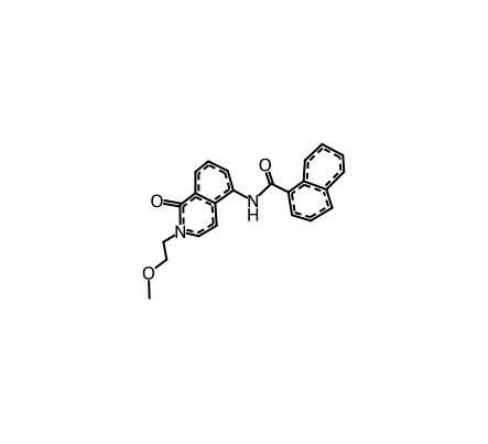 COCCn1ccc2c(NC(=O)c3cccc4ccccc34)cccc2c1=O